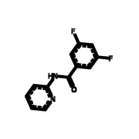 O=C(Nc1ccccn1)c1cc(F)cc(F)c1